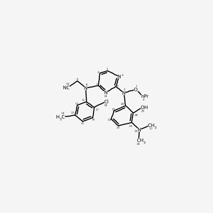 CCCON(c1nccc(N(CC#N)c2cc(C)ccc2Cl)n1)c1cccc(N(C)C)c1O